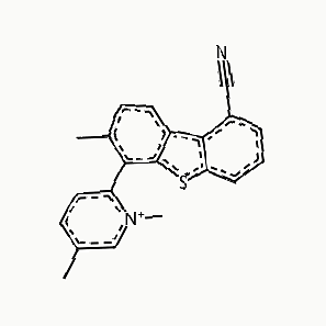 Cc1ccc(-c2c(C)ccc3c2sc2cccc(C#N)c23)[n+](C)c1